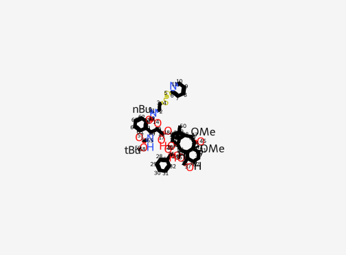 CCCCN(CCSSc1ccccn1)C(=O)O[C@@H](C(=O)O[C@H]1C[C@@]2(O)[C@@H](OC(=O)c3ccccc3)[C@@H]3[C@]4(O)CO[C@@H]4C[C@H](OC)[C@@]3(C)C(=O)[C@H](OC)C(=C1C)C2(C)C)[C@@H](NC(=O)OC(C)(C)C)c1ccccc1